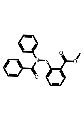 COC(=O)c1ccccc1SN(C(=O)c1ccccc1)c1ccccc1